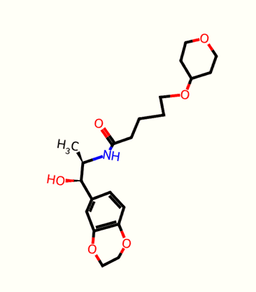 C[C@@H](NC(=O)CCCCOC1CCOCC1)[C@H](O)c1ccc2c(c1)OCCO2